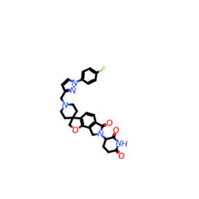 O=C1CCC(N2Cc3c(ccc4c3OCC43CCN(Cc4ccn(-c5ccc(F)cc5)n4)CC3)C2=O)C(=O)N1